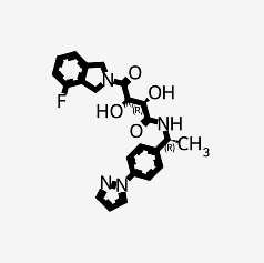 C[C@@H](NC(=O)[C@H](O)[C@@H](O)C(=O)N1Cc2cccc(F)c2C1)c1ccc(-n2cccn2)cc1